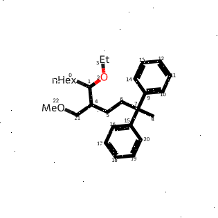 CCCCCCC(OCC)C(CCC(C)(c1ccccc1)c1ccccc1)COC